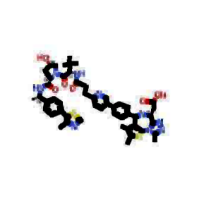 Cc1ncsc1-c1ccc([C@H](C)NC(=O)[C@@H]2C[C@@H](O)CN2C(=O)[C@@H](NC(=O)CCc2ccc(-c3ccc(C4=N[C@@H](CC(=O)O)c5nnc(C)n5-c5sc(C)c(C)c54)cc3)cn2)C(C)(C)C)cc1